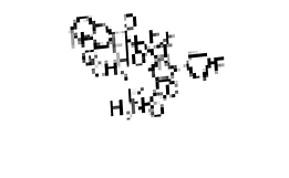 COc1cc(C(=O)NC[C@](O)(c2cc3c(c(-c4ccc(F)cc4)n2)OC[C@@]3(CF)C(N)=O)C(F)(F)F)cc2cccnc12